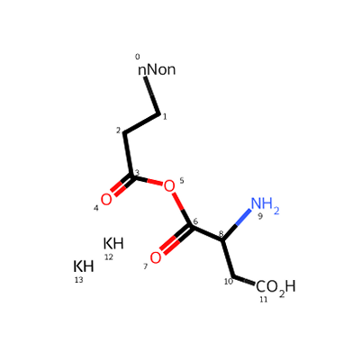 CCCCCCCCCCCC(=O)OC(=O)C(N)CC(=O)O.[KH].[KH]